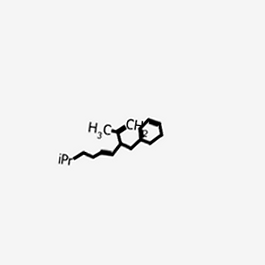 C=C(C)C(/C=C/CCC(C)C)CC1=CC=CCC1